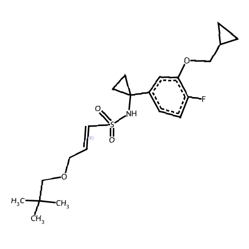 CC(C)(C)COC/C=C/S(=O)(=O)NC1(c2ccc(F)c(OCC3CC3)c2)CC1